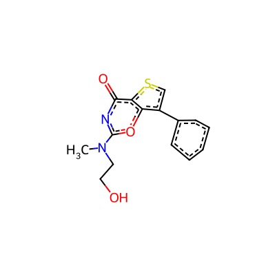 CN(CCO)c1nc(=O)c2scc(-c3ccccc3)c2o1